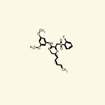 C=C/C=C\C=C1/CN=C(Nc2cc(OC)cc(OC)c2)C(CS(=O)(=O)c2ccccc2F)=N1